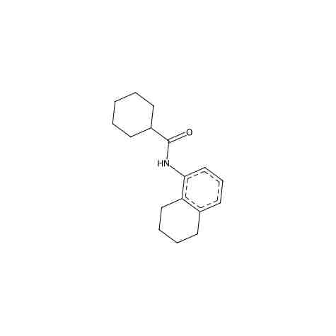 O=C(Nc1cccc2c1CCCC2)C1CCCCC1